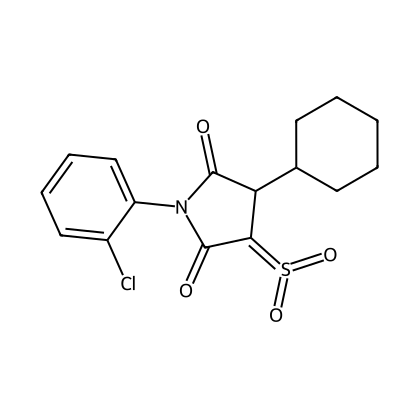 O=C1C(=S(=O)=O)C(C2CCCCC2)C(=O)N1c1ccccc1Cl